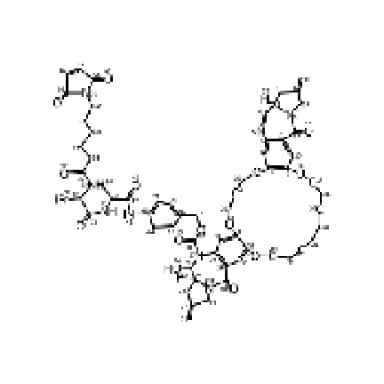 C=C1C[C@H]2C=Nc3cc4c(cc3C(=O)N2C1)OCCCCCCCCOc1cc2c(cc1OCCCO4)N(C(=O)OCc1ccc(NC(=O)[C@H](C)NC(=O)C(NC(=O)CCCCCN3C(=O)C=CC3=O)C(C)C)cc1)C(O)[C@@H]1CC(=C)CN1C2=O